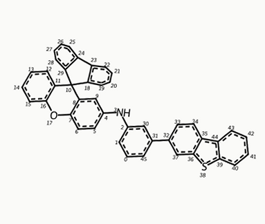 c1cc(Nc2ccc3c(c2)C2(c4ccccc4O3)c3ccccc3-c3ccccc32)cc(-c2ccc3c(c2)sc2ccccc23)c1